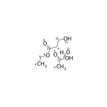 CC(=O)O.CCOC(=O)CCO.O